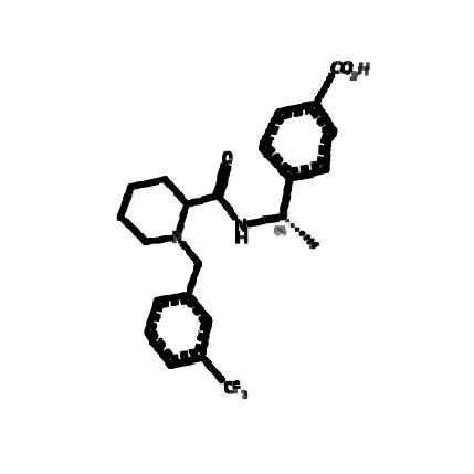 C[C@H](NC(=O)C1CCCCN1Cc1cccc(C(F)(F)F)c1)c1ccc(C(=O)O)cc1